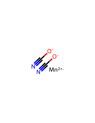 N#C[O-].N#C[O-].[Mn+2]